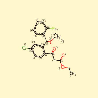 CCOC(=O)CC(=O)c1ccc(Cl)cc1C(OC)c1ccccc1F